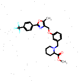 COC(=O)C1CCCCN1Cc1cccc(OCc2nc(-c3ccc(C(F)(F)F)cc3)oc2C)c1